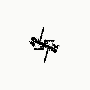 [C-]#[N+]/C(C#N)=C1\C(=Cc2cc(CCCCCCCCCCCC)c(-c3cc4c(-c5ccc(CCCCCC)s5)c5sc(-c6sc(C=C7C(=O)c8ccccc8/C7=C(/C#N)[N+]#[C-])cc6CCCCCCCCCCCC)cc5c(-c5ccc(CCCCCC)s5)c4s3)s2)C(=O)c2ccccc21